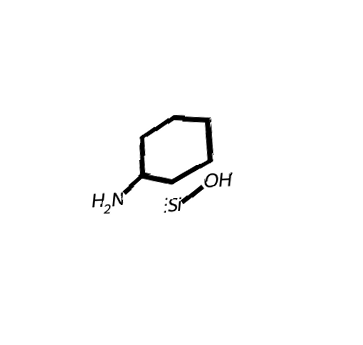 NC1CCCCC1.O[Si]